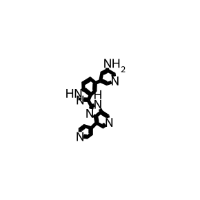 Nc1cncc(-c2ccc3[nH]nc(-c4nc5c(-c6ccncc6)cncc5[nH]4)c3c2)c1